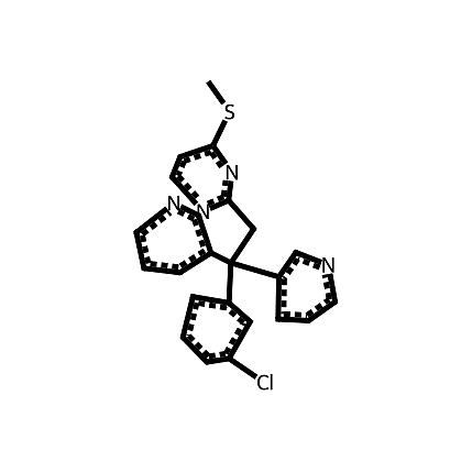 CSc1ccnc(CC(c2cccnc2)(c2cccnc2)c2cccc(Cl)c2)n1